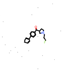 O=C(c1ccc(C2=CCCC=C2)cc1)C1CCN(CCCF)C1